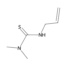 C=CCNC(=S)N(C)C